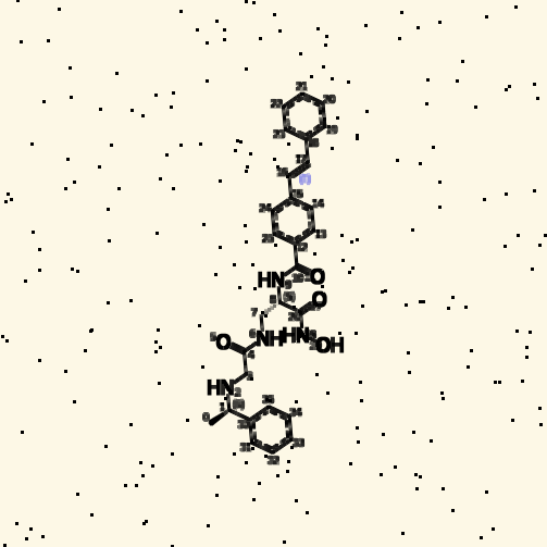 C[C@@H](NCC(=O)NC[C@H](NC(=O)c1ccc(/C=C/c2ccccc2)cc1)C(=O)NO)c1ccccc1